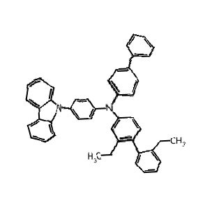 CCc1ccccc1-c1ccc(N(c2ccc(-c3ccccc3)cc2)c2ccc(-n3c4ccccc4c4ccccc43)cc2)cc1CC